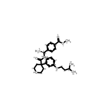 COC(=O)c1ccc([C@H](C)NC(=O)C2(c3cccc(OCCC(C)C)c3)CCOCC2)cc1